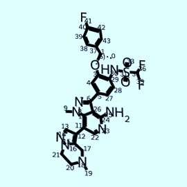 C[C@H](Oc1cc(-c2nn(C)c3c(-c4cnn5c4CN(C)CC5)cnc(N)c23)ccc1NS(=O)(=O)C(F)F)c1ccc(F)cc1